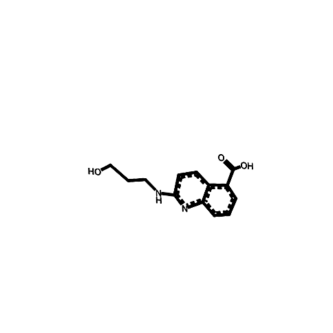 O=C(O)c1cccc2nc(NCCCO)ccc12